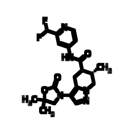 C[C@@H]1Cn2ncc(N3CC(C)(C)OC3=O)c2CC1C(=O)Nc1ccnc(C(F)F)c1